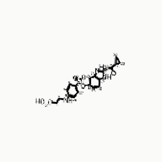 O=C(O)CCNc1ccc(S(=O)(=O)Oc2ccc3[nH]c(NC(=O)C4CC4)nc3c2)cc1